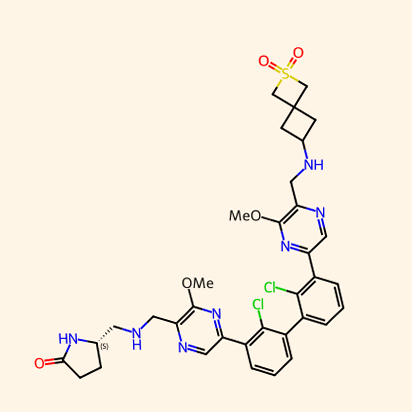 COc1nc(-c2cccc(-c3cccc(-c4cnc(CNC5CC6(C5)CS(=O)(=O)C6)c(OC)n4)c3Cl)c2Cl)cnc1CNC[C@@H]1CCC(=O)N1